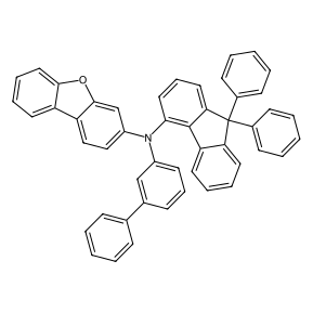 c1ccc(-c2cccc(N(c3ccc4c(c3)oc3ccccc34)c3cccc4c3-c3ccccc3C4(c3ccccc3)c3ccccc3)c2)cc1